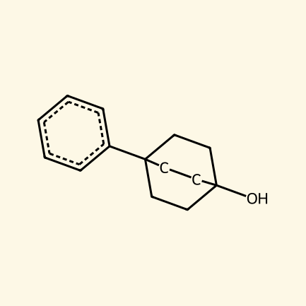 OC12CCC(c3ccccc3)(CC1)CC2